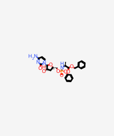 C[C@H](NP(=O)(OC[C@@H]1C[C@@H](O)[C@H](n2ccc(N)nc2=O)O1)Oc1ccccc1)C(=O)OCc1ccccc1